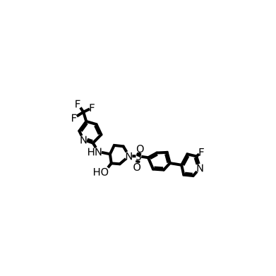 O=S(=O)(c1ccc(-c2ccnc(F)c2)cc1)N1CCC(Nc2ccc(C(F)(F)F)cn2)C(O)C1